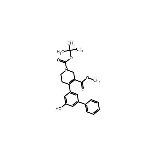 COC(=O)C1=C(c2cc(O)cc(-c3ccccc3)c2)CCN(C(=O)OC(C)(C)C)C1